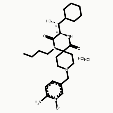 CCCCN1C(=O)[C@@H]([C@H](O)C2CCCCC2)NC(=O)C12CCN(Cc1ccc(N)[n+]([O-])c1)CC2.Cl.Cl